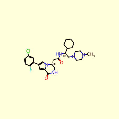 CN1CCN(C[C@@H](NC(=O)C[C@@H]2CNC(=O)c3cc(-c4cc(Cl)ccc4F)cn32)C2CCCCC2)CC1